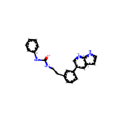 O=C(NCCc1cccc(-c2cnc3[nH]ccc3c2)c1)Nc1ccccc1